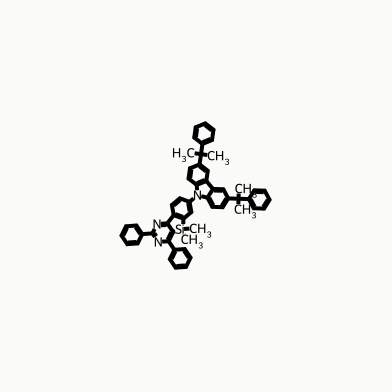 CC(C)(c1ccccc1)c1ccc2c(c1)c1cc(C(C)(C)c3ccccc3)ccc1n2-c1ccc2c(c1)[Si](C)(C)c1c(-c3ccccc3)nc(-c3ccccc3)nc1-2